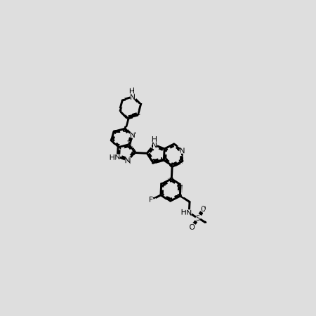 CS(=O)(=O)NCc1cc(F)cc(-c2cncc3[nH]c(-c4n[nH]c5ccc(C6=CCNCC6)nc45)cc23)c1